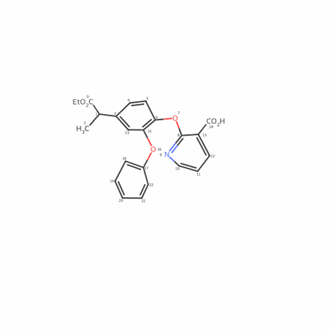 CCOC(=O)C(C)c1ccc(Oc2ncccc2C(=O)O)c(Oc2ccccc2)c1